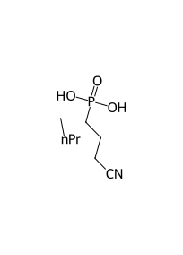 CCCC.N#CCCCP(=O)(O)O